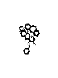 O=C1c2c(OCc3ccccc3)c(=O)ccn2N([C@@H]2c3ccccc3SCC3C=CC=CC32)[C@@H]2CC3(CCN12)OCCO3